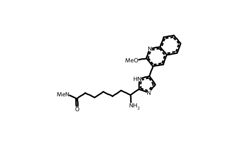 CNC(=O)CCCCCC(N)c1ncc(-c2cc3ccccc3nc2OC)[nH]1